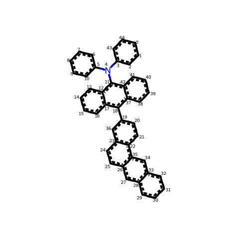 c1ccc(N(c2ccccc2)c2c3ccccc3c(-c3ccc4c(ccc5cc6ccccc6cc54)c3)c3ccccc23)cc1